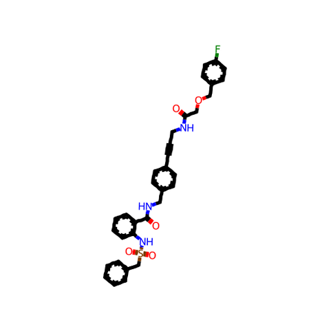 O=C(COCc1ccc(F)cc1)NCC#Cc1ccc(CNC(=O)c2ccccc2NS(=O)(=O)Cc2ccccc2)cc1